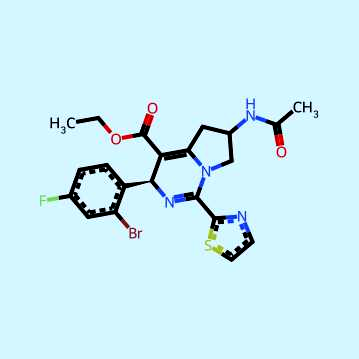 CCOC(=O)C1=C2CC(NC(C)=O)CN2C(c2nccs2)=N[C@H]1c1ccc(F)cc1Br